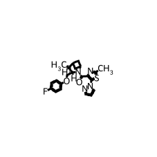 Cc1nc(C(=O)N2C3CC(C3)[C@@H](C)[C@H]2COc2ccc(F)cc2)c(-n2cccn2)s1